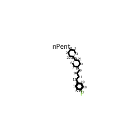 CCCCC[C@H]1CC[C@H]([C@H]2CC[C@H](CCCCc3ccc(F)cc3)CC2)CC1